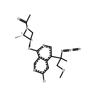 COCC(C)(N=[N+]=[N-])c1cnc(O[C@@H]2CN(C(C)=O)[C@H]2C)c2cnc(Cl)cc12